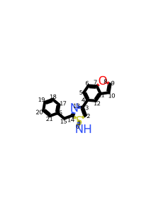 N=S1C=C(c2ccc3occc3c2)N=C1Cc1ccccc1